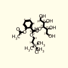 CC(=O)Oc1ccccc1C(=O)OCC[N+](C)(C)C.OC[C@@H](O)[C@H](O)[C@@H](O)CO.[Cl-]